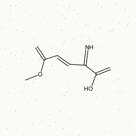 C=C(/C=C/C(=N)C(=C)O)OC